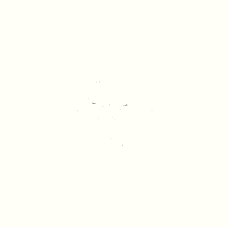 CCCCOC[C@@H]1[C@@H](OCCCC)[C@H](OCCCC)CN1CCO